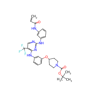 C=CC(=O)Nc1cccc(Nc2ncc(C(F)(F)F)c(Nc3cccc(OC4CCN(C(=O)OC(C)(C)C)CC4)c3)n2)c1